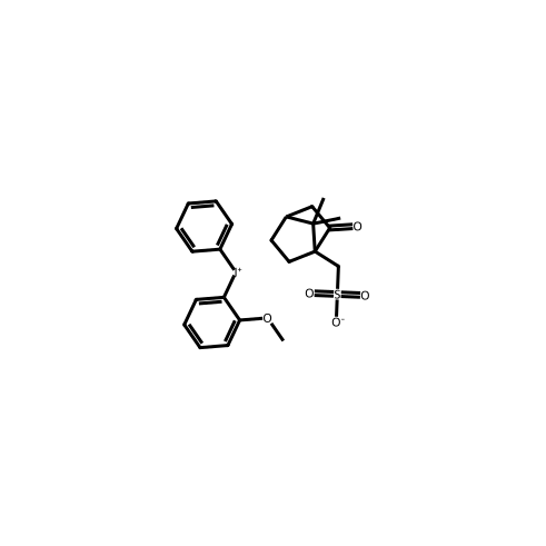 CC1(C)C2CCC1(CS(=O)(=O)[O-])C(=O)C2.COc1ccccc1[I+]c1ccccc1